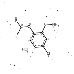 Cl.NCc1cc(Cl)ccc1OC(F)F